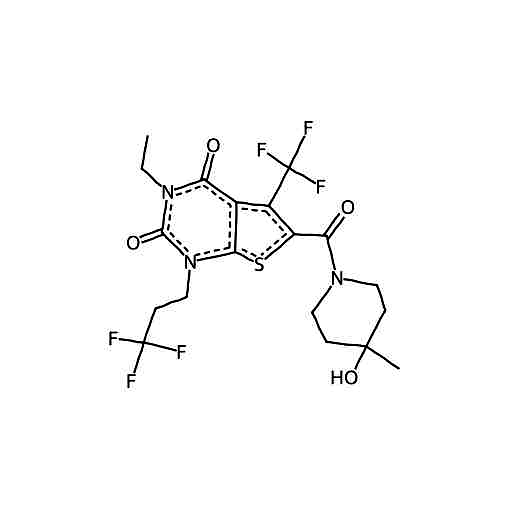 CCn1c(=O)c2c(C(F)(F)F)c(C(=O)N3CCC(C)(O)CC3)sc2n(CCC(F)(F)F)c1=O